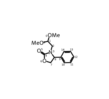 COC(CN1C(=O)OCC1c1ccccc1)OC